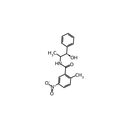 Cc1ccc([N+](=O)[O-])cc1C(=O)NC(C)[C@H](O)c1ccccc1